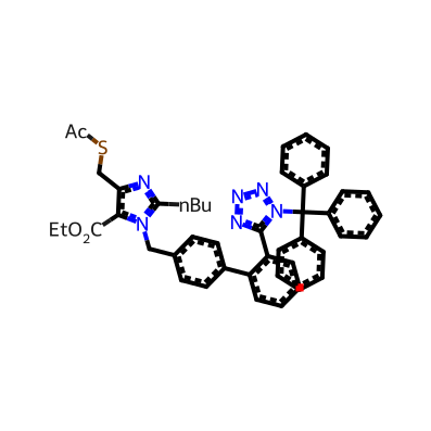 CCCCc1nc(CSC(C)=O)c(C(=O)OCC)n1Cc1ccc(-c2ccccc2-c2nnnn2C(c2ccccc2)(c2ccccc2)c2ccccc2)cc1